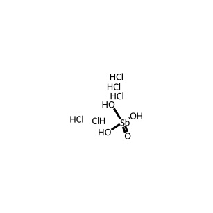 Cl.Cl.Cl.Cl.Cl.[O]=[Sb]([OH])([OH])[OH]